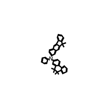 CC1(C)c2ccccc2-c2cc3ccc(N(c4ccccc4)c4ccc5c(c4)C(C)(C)C(C)(C)c4ccccc4-5)cc3cc21